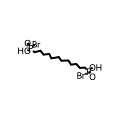 O=P(O)(Br)CCCCCCCCCCCCP(=O)(O)Br